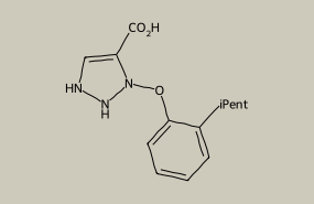 CCCC(C)c1ccccc1ON1NNC=C1C(=O)O